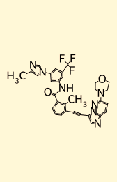 Cc1cn(-c2cc(NC(=O)c3cccc(C#Cc4cnc5ccc(N6CCOCC6)nn45)c3C)cc(C(F)(F)F)c2)cn1